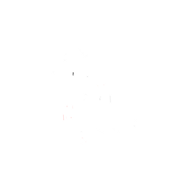 CP(C)(=O)/C(=C(/O)c1cc2ccccc2cc1C(=O)O)c1cccc2ccccc12